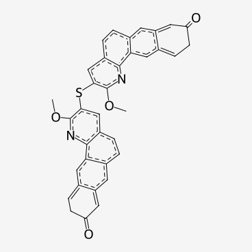 COc1nc2c(ccc3cc4c(cc32)=CCC(=O)C=4)cc1Sc1cc2ccc3cc4c(cc3c2nc1OC)=CCC(=O)C=4